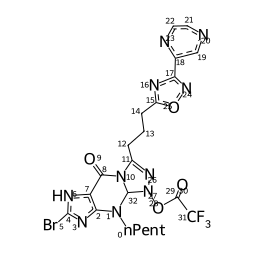 CCCCCN1c2nc(Br)[nH]c2C(=O)N2C(CCCc3nc(-c4cnccn4)no3)=NN(OC(=O)C(F)(F)F)C21